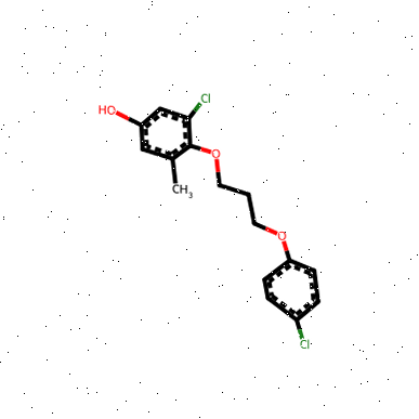 Cc1cc(O)cc(Cl)c1OCCCOc1ccc(Cl)cc1